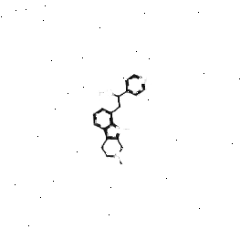 CN1CCc2c([nH]c3c(CC(O)c4ccncc4)cccc23)C1